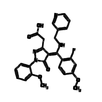 COc1ccc(/C(NCc2cccnc2)=C2\C(=O)N(c3ccccc3OC)N=C2CC(=O)O)c(F)c1